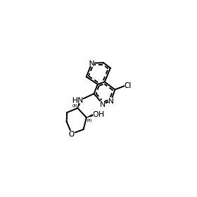 O[C@H]1COCC[C@H]1Nc1nnc(Cl)c2ccncc12